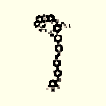 COc1cc(N2CCC(N3CCN(CCN4CCC(c5ccc(NC6CCC(=O)NC6=O)cc5)CC4)CC3)CC2)c(C)cc1Nc1ncc(Br)c(Nc2cccc3c2N(S(C)(=O)=O)CC3)n1